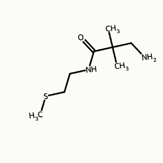 CSCCNC(=O)C(C)(C)CN